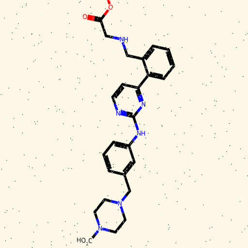 CC(C)(C)OC(=O)CNCc1ccccc1-c1ccnc(Nc2cccc(CN3CCN(C(=O)O)CC3)c2)n1